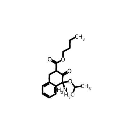 CCCCOC(=O)C1Cc2ccccc2C(N)(OC(C)C)C1=O